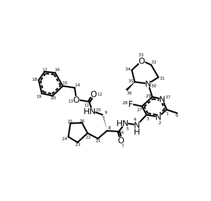 Cc1nc(NNC(=O)[C@@H](CNC(=O)OCc2ccccc2)CC2CCCC2)c(F)c(N2CCOC[C@@H]2C)n1